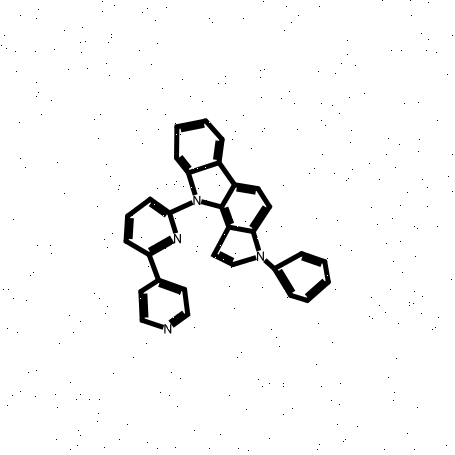 c1ccc(-n2ccc3c2ccc2c4ccccc4n(-c4cccc(-c5ccncc5)n4)c23)cc1